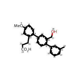 COc1ccc(-c2ccc(-c3cccc(C)c3)c(CO)c2)c(CCC(=O)O)c1